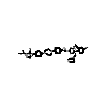 CCC(C)n1ncn(-c2ccc(N3CCN(c4ccc(OC[C@@H]5CO[C@@](Cn6ccnc6)(c6ccc(Cl)cc6Cl)O5)cc4)CC3)cc2)c1=O